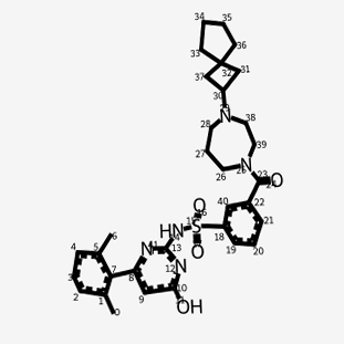 Cc1cccc(C)c1-c1cc(O)nc(NS(=O)(=O)c2cccc(C(=O)N3CCCN(C4CC5(CCCC5)C4)CC3)c2)n1